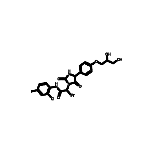 CC(C)C(C(=O)Nc1ccc(I)cc1Cl)N1C(=O)NC(c2ccc(OCC(O)CO)cc2)C1=O